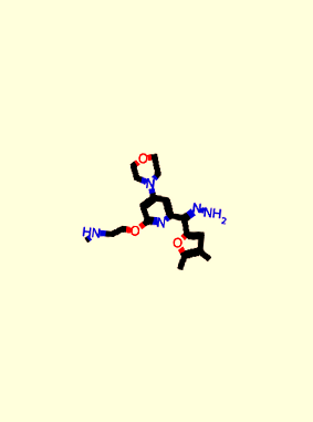 CNCCOc1cc(N2CCOCC2)cc(C(=NN)c2cc(C)c(C)o2)n1